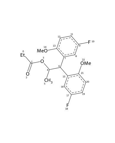 CCC(=O)OC(C)C(c1cc(F)ccc1OC)c1cc(F)ccc1OC